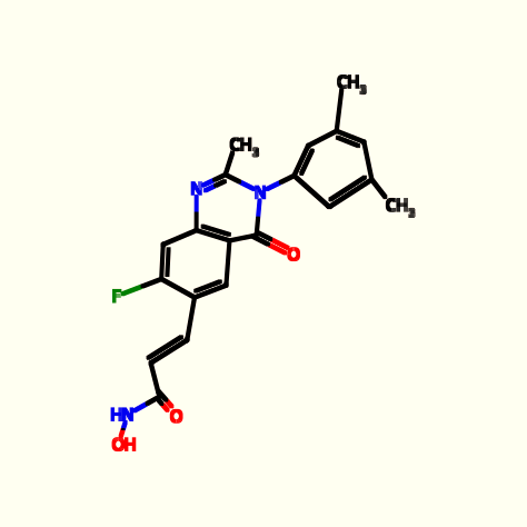 Cc1cc(C)cc(-n2c(C)nc3cc(F)c(/C=C/C(=O)NO)cc3c2=O)c1